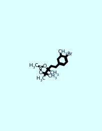 CB1OC(C)(C)C(C)(CCC2=CC=C(Br)C(C)C2)O1